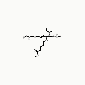 CCN(C)/C(CONC)=C(\C=C\CCCNSI)OCCCCC(=O)OC